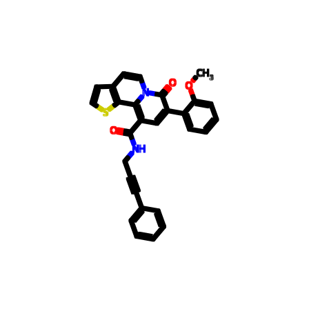 COc1ccccc1-c1cc(C(=O)NCC#Cc2ccccc2)c2c3sccc3ccn2c1=O